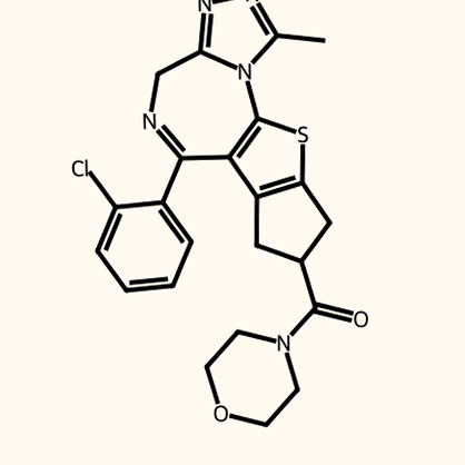 Cc1nnc2n1-c1sc3c(c1C(c1ccccc1Cl)=NC2)CC(C(=O)N1CCOCC1)C3